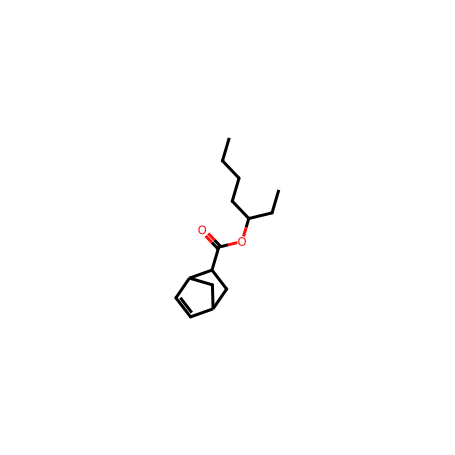 CCCCC(CC)OC(=O)C1CC2C=CC1C2